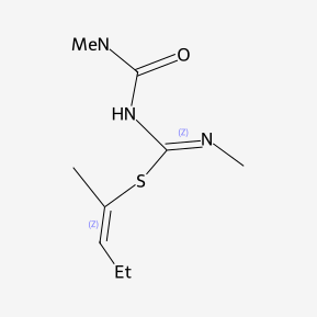 CC/C=C(/C)S/C(=N\C)NC(=O)NC